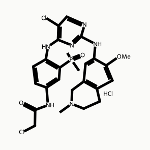 COc1cc2c(cc1Nc1ncc(Cl)c(Nc3ccc(NC(=O)CCl)cc3P(C)(C)=O)n1)CN(C)CC2.Cl